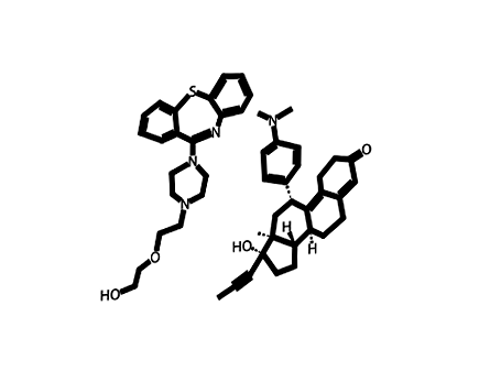 CC#C[C@]1(O)CC[C@H]2[C@@H]3CCC4=CC(=O)CCC4=C3[C@@H](c3ccc(N(C)C)cc3)C[C@@]21C.OCCOCCN1CCN(C2=Nc3ccccc3Sc3ccccc32)CC1